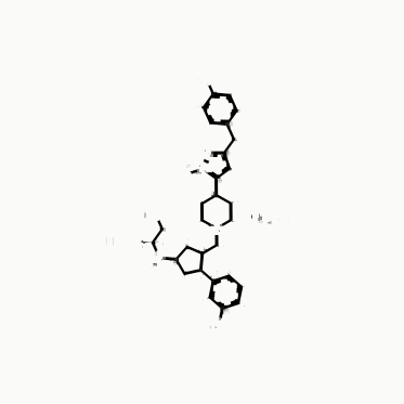 CCc1ccc(Cc2cc(C3CCN(CC4CC(N(C)[C@H](CC(C)C)C(=O)O)CC4c4cccc(F)c4)CC3)n(CC)n2)cc1.Cl.Cl.Cl